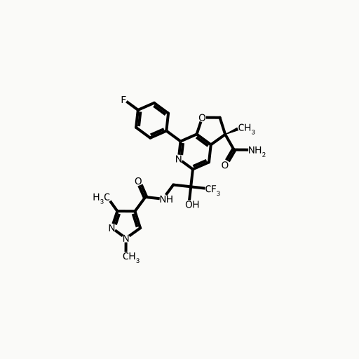 Cc1nn(C)cc1C(=O)NCC(O)(c1cc2c(c(-c3ccc(F)cc3)n1)OC[C@]2(C)C(N)=O)C(F)(F)F